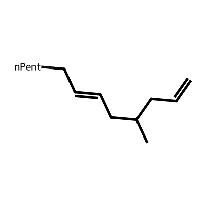 C=CCC(C)CC=CCCCCCC